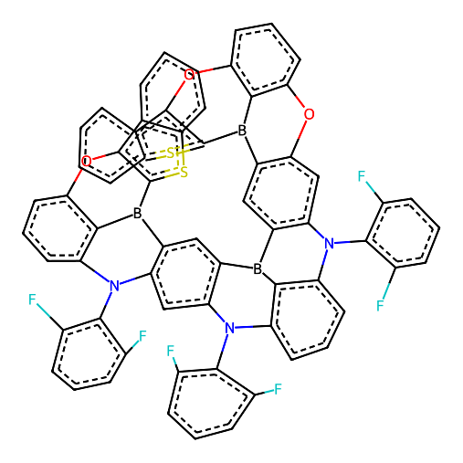 Fc1cccc(F)c1N1c2cc3c(cc2B2c4sc5ccccc5c4Oc4cccc1c42)B1c2cc4c(cc2N(c2c(F)cccc2F)c2cccc(c21)N3c1c(F)cccc1F)Oc1cccc2c1B4c1sc3ccccc3c1O2